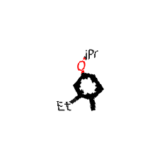 CCc1cc(OC(C)C)ccc1C